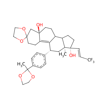 CC1(c2ccc([C@H]3C[C@@]4(C)C(CC[C@@]4(O)/C=C/C(F)(F)F)C4CC[C@@]5(O)CC6(CCC5=C43)OCCO6)cc2)OCCO1